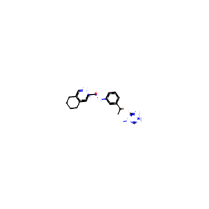 CC(Sc1nncn1C)c1cccc(NC(=O)c2cc3c(cn2)CCCC3)c1